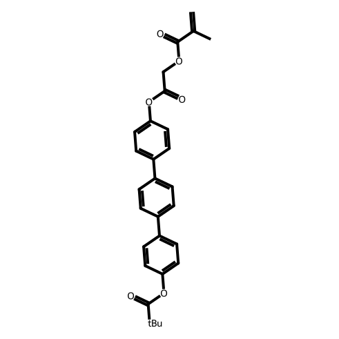 C=C(C)C(=O)OCC(=O)Oc1ccc(-c2ccc(-c3ccc(OC(=O)C(C)(C)C)cc3)cc2)cc1